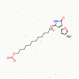 CCCCCCCCCCCCO[S-](=O)=O.O=C1C=CC(=O)N1.[Na+].c1ccoc1